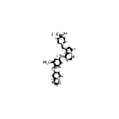 Cc1cc(Nc2ncnn3ccc(CN4CCC(C)(O)CC4)c23)ccc1Oc1ccn2ncnc2c1